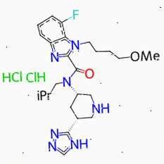 COCCCCn1c(C(=O)N(CC(C)C)[C@@H]2CNC[C@H](c3nnc[nH]3)C2)nc2cccc(F)c21.Cl.Cl